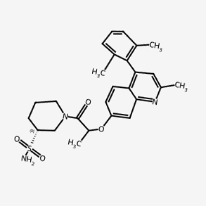 Cc1cc(-c2c(C)cccc2C)c2ccc(OC(C)C(=O)N3CCC[C@@H](S(N)(=O)=O)C3)cc2n1